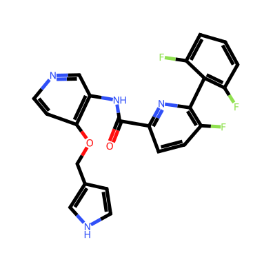 O=C(Nc1cnccc1OCc1cc[nH]c1)c1ccc(F)c(-c2c(F)cccc2F)n1